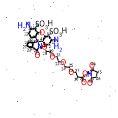 Nc1ccc2c(c1S(=O)(=O)O)Oc1c(ccc(N)c1S(=O)(=O)O)C21c2ccccc2C(=O)N1OCCOCCOCCOCCC(=O)ON1C(=O)CCC1=O